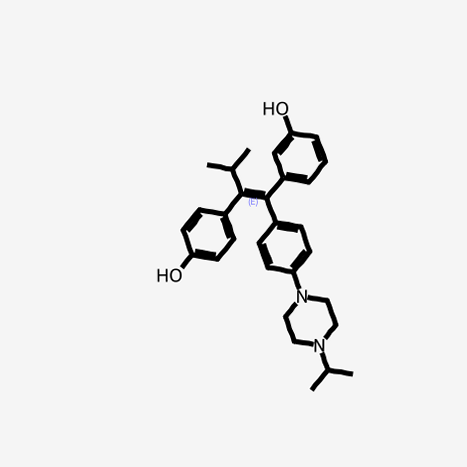 CC(C)/C(=C(/c1ccc(N2CCN(C(C)C)CC2)cc1)c1cccc(O)c1)c1ccc(O)cc1